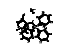 Cc1csc(C)c1C[P+](c1ccccc1)(c1ccccc1)c1ccccc1.[Br-]